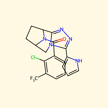 O=C(c1cccc(C(F)(F)F)c1Cl)N1C2CCC1c1nnc(-c3ccc[nH]3)n1C2